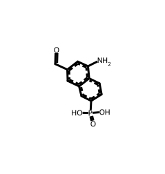 Nc1cc(C=O)cc2cc(P(=O)(O)O)ccc12